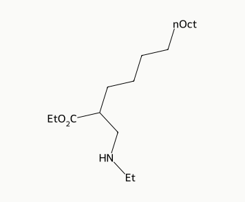 CCCCCCCCCCCCC(CNCC)C(=O)OCC